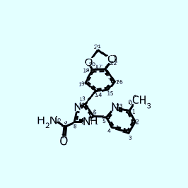 Cc1cccc(-c2[nH]c(C(N)=O)nc2-c2ccc3c(c2)OCO3)n1